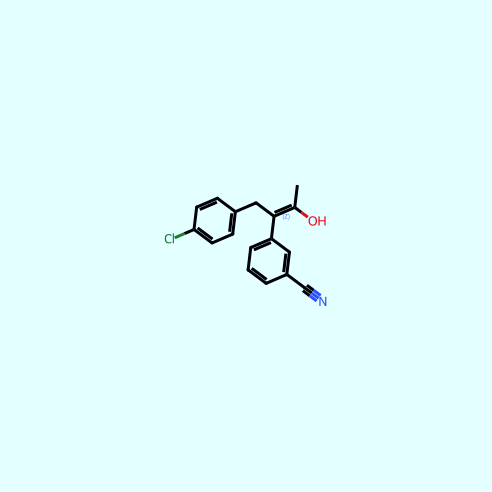 C/C(O)=C(\Cc1ccc(Cl)cc1)c1cccc(C#N)c1